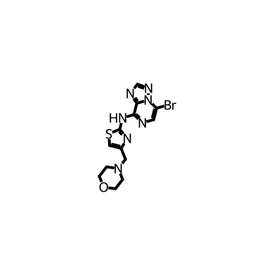 Brc1cnc(Nc2nc(CN3CCOCC3)cs2)c2ncnn12